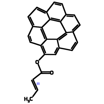 C/C=C/C(=O)Oc1cc2ccc3ccc4ccc5ccc6ccc1c1c6c5c4c3c21